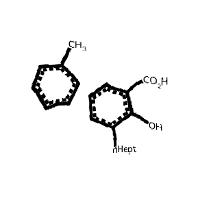 CCCCCCCc1cccc(C(=O)O)c1O.Cc1ccccc1